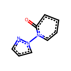 O=c1ccccn1-n1cccn1